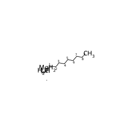 [CH2]CCCCCCCCC.[LiH].[MgH2]